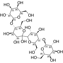 OC[C@H]1O[C@@H](O[C@H]2[C@H](O)[C@@H](O)C(O)(C3O[C@H](CO)[C@@H](O[C@@H]4O[C@H](CO)[C@H](O)[C@H](O)[C@H]4O)[C@H](O)[C@H]3O)O[C@@H]2CO)[C@H](O)[C@@H](O)[C@H]1O